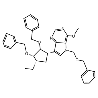 CC[C@H]1C[C@@H](c2cn(COCc3ccccc3)c3c(OC)ncnc23)C(OCc2ccccc2)[C@H]1OCc1ccccc1